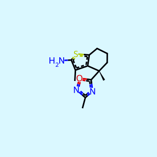 Cc1noc([C@@]2(C)CCCc3sc(N)c(C)c32)n1